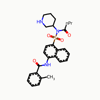 CCCC(=O)N(C1CCCNC1)S(=O)(=O)c1ccc(NC(=O)c2ccccc2C)c2ccccc12